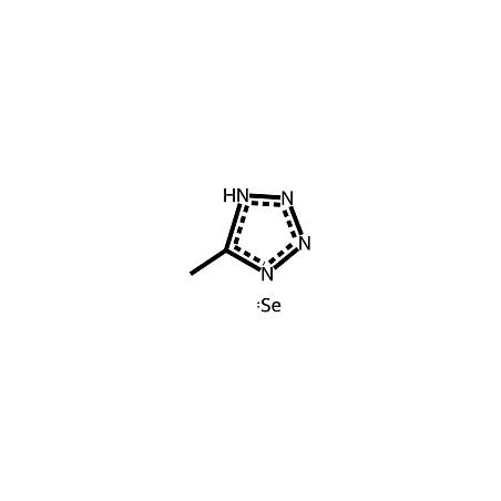 Cc1nnn[nH]1.[Se]